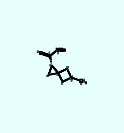 CNC(=O)[C@H]1CC12CN(C)C2